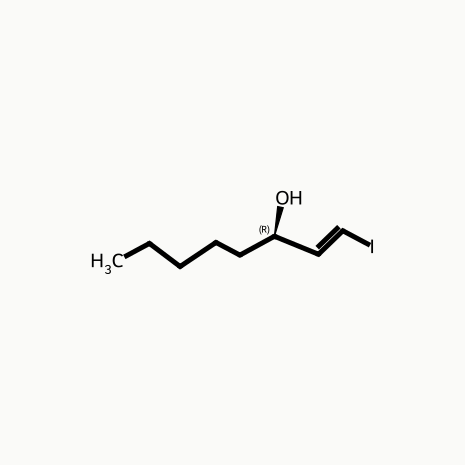 CCCCC[C@@H](O)C=CI